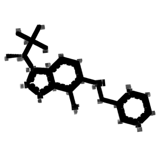 C[C@@H](n1nnc2c(Br)c(NCc3cnccn3)ccc21)C(C)(C)C